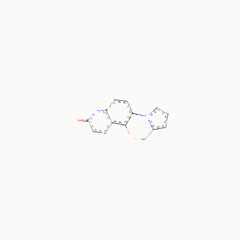 O=c1ccc2c3c(ccc2[nH]1)-n1cccc1CO3